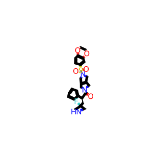 O=C([C@@H](CC1(F)CNC1)c1ccccc1)N1CC2=C(C1)CN(S(=O)(=O)c1ccc3c(c1)OCCO3)C2